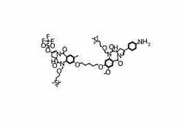 COc1cc2c(cc1OCCCCCOc1cc3c(cc1C)C(=O)N1C=C(OS(=O)(=O)C(F)(F)F)C[C@H]1C(=O)N3COCC[Si](C)(C)C)N(COCC[Si](C)(C)C)C(=O)[C@@H]1CC(c3ccc(N)cc3)=CN1C2=O